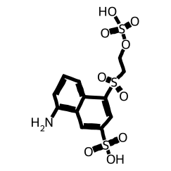 Nc1cccc2c(S(=O)(=O)CCOS(=O)(=O)O)cc(S(=O)(=O)O)cc12